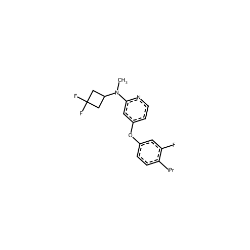 CC(C)c1ccc(Oc2ccnc(N(C)C3CC(F)(F)C3)c2)cc1F